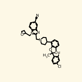 CC1(c2ccc(Cl)cc2F)Oc2cccc(C3CCN(Cc4nc5cc(C#N)ccc5n4CC4CCO4)CC3)c2O1